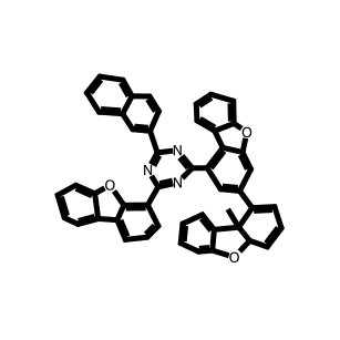 CC12C(c3cc(-c4nc(-c5ccc6ccccc6c5)nc(-c5cccc6c5oc5ccccc56)n4)c4c(c3)oc3ccccc34)=CC=CC1Oc1ccccc12